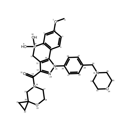 COc1ccc2c(c1)S(O)(O)Cc1c(C(=O)N3CCOC4(CC4)C3)nn(-c3ccc(CN4CCOCC4)cc3)c1-2